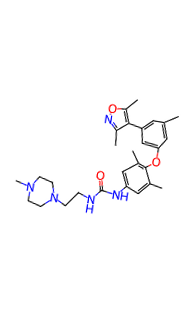 Cc1cc(Oc2c(C)cc(NC(=O)NCCN3CCN(C)CC3)cc2C)cc(-c2c(C)noc2C)c1